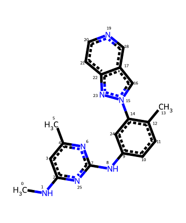 CNc1cc(C)nc(Nc2ccc(C)c(-n3cc4cnccc4n3)c2)n1